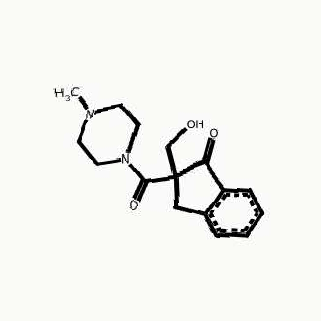 CN1CCN(C(=O)C2(CO)Cc3ccccc3C2=O)CC1